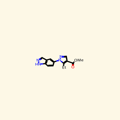 CCc1c(C(=O)OC)cnn1-c1ccc2[nH]ncc2c1